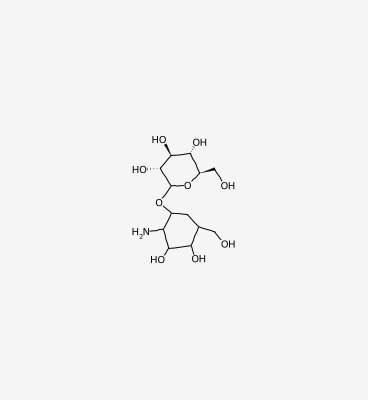 NC1C(OC2O[C@H](CO)[C@@H](O)[C@H](O)[C@H]2O)CC(CO)C(O)C1O